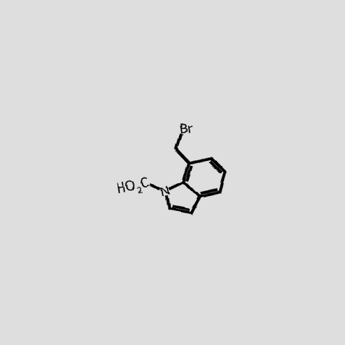 O=C(O)n1ccc2cccc(CBr)c21